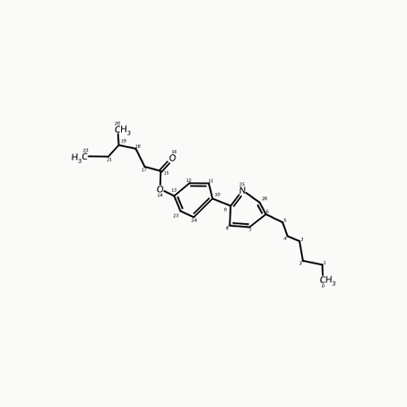 CCCCCCc1ccc(-c2ccc(OC(=O)CCC(C)CC)cc2)nc1